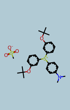 CN(C)c1ccc([S+](c2cccc(OC(C)(C)C)c2)c2cccc(OC(C)(C)C)c2)cc1.CS(=O)(=O)[O-]